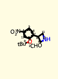 CC(C)(C)OC=O.O=[N+]([O-])c1ccc(C2CNC2)cc1